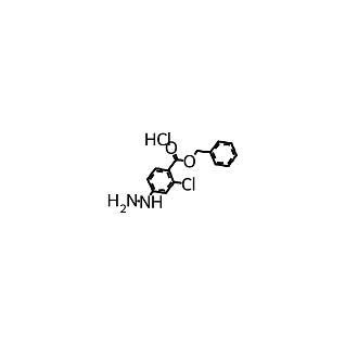 Cl.NNc1ccc(C(=O)OCc2ccccc2)c(Cl)c1